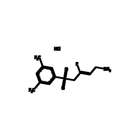 Cl.NC/C=C(\F)CS(=O)(=O)c1cc(C(F)(F)F)cc(C(F)(F)F)c1